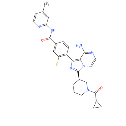 Nc1nccn2c([C@@H]3CCCN(C(=O)C4CC4)C3)nc(-c3ccc(C(=O)Nc4cc(C(F)(F)F)ccn4)cc3F)c12